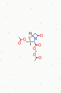 CC(=O)OCOC(=O)[C@@H]1N2C(=O)C[C@H]2S[C@@]1(C)COC(C)=O